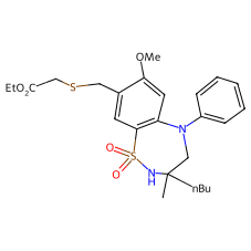 CCCCC1(C)CN(c2ccccc2)c2cc(OC)c(CSCC(=O)OCC)cc2S(=O)(=O)N1